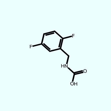 O=C(O)NCc1cc(F)ccc1F